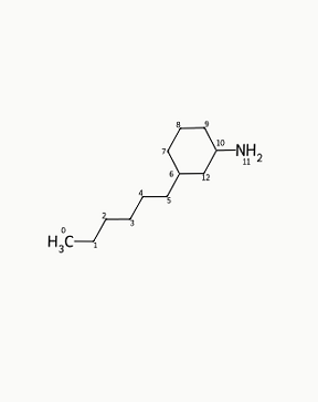 CCCCCCC1CCCC(N)C1